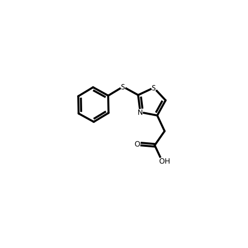 O=C(O)Cc1csc(Sc2ccccc2)n1